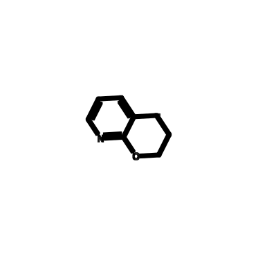 [C]1CCOc2ncccc21